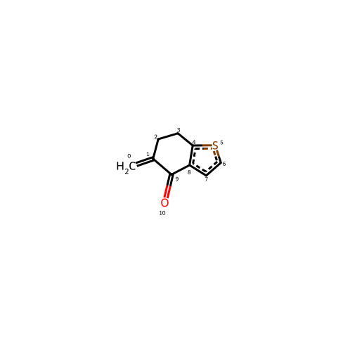 C=C1CCc2sccc2C1=O